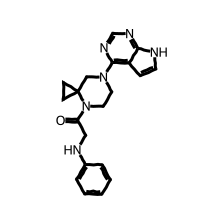 O=C(CNc1ccccc1)N1CCN(c2ncnc3[nH]ccc23)CC12CC2